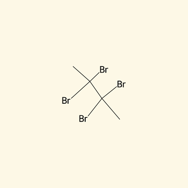 CC(Br)(Br)C(C)(Br)Br